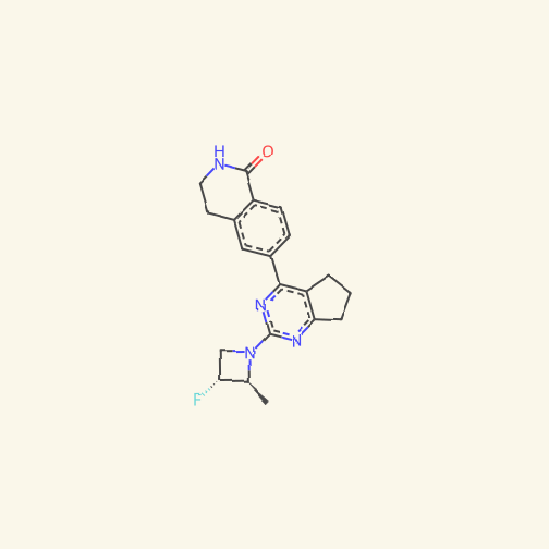 C[C@H]1[C@H](F)CN1c1nc2c(c(-c3ccc4c(c3)CCNC4=O)n1)CCC2